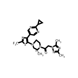 Cc1nc(C)n(CC(=O)N2CCN(c3sc(C(F)(F)F)nc3-c3cnc(C4CC4)nc3)C[C@H]2C)n1